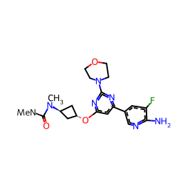 CNC(=O)N(C)[C@H]1C[C@H](Oc2cc(-c3cnc(N)c(F)c3)nc(N3CCOCC3)n2)C1